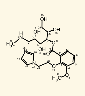 CNC[C@H](O)[C@@H](O)[C@H](OC(=O)c1cccc(OC)c1OCCn1ccnc1)[C@H](O)CO